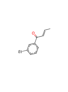 C/C=C/C(=O)c1cccc(CC)c1